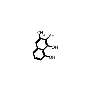 CC(=O)c1c(C)cc2cccc(O)c2c1O